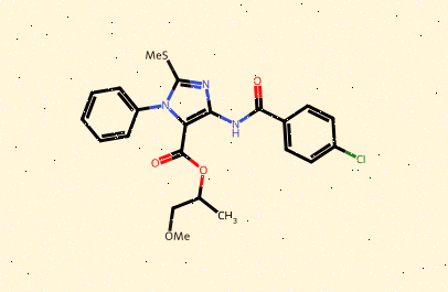 COCC(C)OC(=O)c1c(NC(=O)c2ccc(Cl)cc2)nc(SC)n1-c1ccccc1